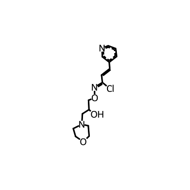 OC(CO/N=C(Cl)/C=C/c1cccnc1)CN1CCOCC1